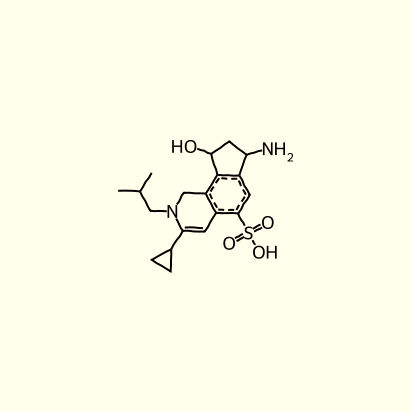 CC(C)CN1Cc2c(c(S(=O)(=O)O)cc3c2C(O)CC3N)C=C1C1CC1